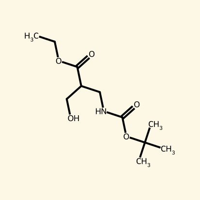 CCOC(=O)C(CO)CNC(=O)OC(C)(C)C